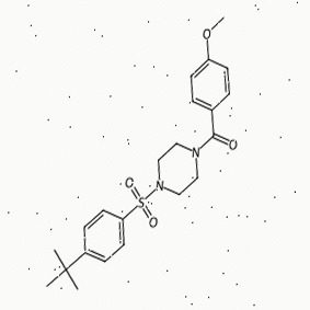 COc1ccc(C(=O)N2CCN(S(=O)(=O)c3ccc(C(C)(C)C)cc3)CC2)cc1